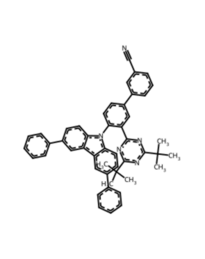 CC(C)(C)c1nc(-c2cc(-c3cccc(C#N)c3)ccc2-n2c3ccc(-c4ccccc4)cc3c3cc(-c4ccccc4)ccc32)nc(C(C)(C)C)n1